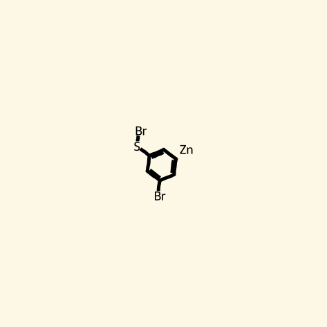 BrSc1cccc(Br)c1.[Zn]